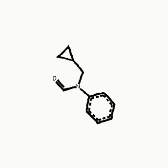 O=[C]N(CC1CC1)c1ccccc1